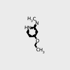 CCOc1cc[nH]/c(=N\C)c1